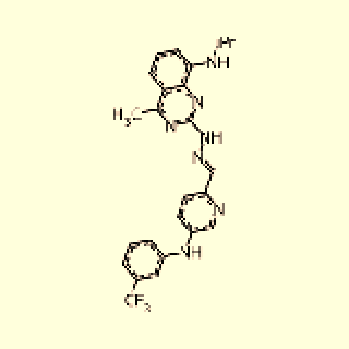 Cc1nc(N/N=C/c2ccc(Nc3cccc(C(F)(F)F)c3)cn2)nc2c(NC(C)C)cccc12